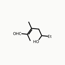 CCC(O)CC(C)=C(C)C=O